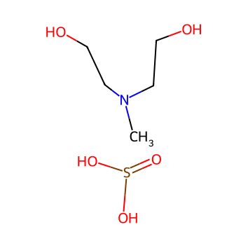 CN(CCO)CCO.O=S(O)O